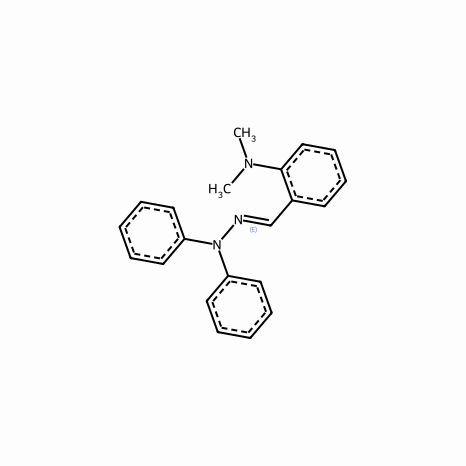 CN(C)c1ccccc1/C=N/N(c1ccccc1)c1ccccc1